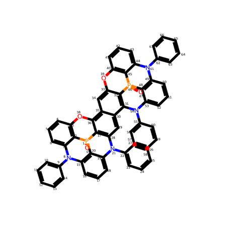 O=P12c3c4cccc3N(c3ccccc3)c3cccc(c31)N(c1ccccc1)c1cc3c5c6c(cc3c(c12)O4)Oc1cccc2c1P6(=O)c1c(cccc1N5c1ccccc1)N2c1ccccc1